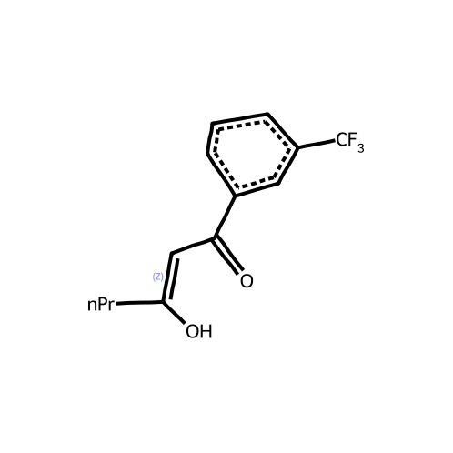 CCC/C(O)=C/C(=O)c1cccc(C(F)(F)F)c1